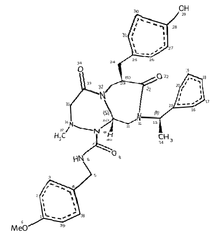 COc1ccc(CNC(=O)N2[C@H]3CN([C@H](C)c4ccccc4)C(=O)[C@H](Cc4ccc(O)cc4)N3C(=O)CN2C)cc1